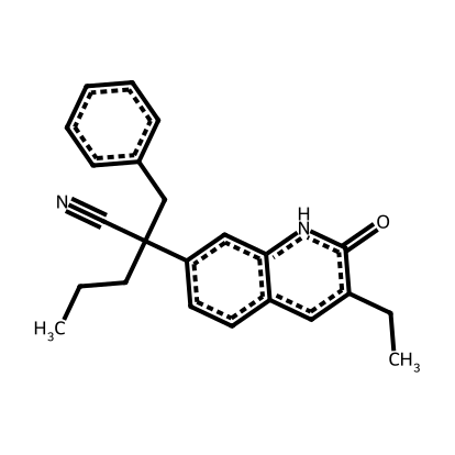 CCCC(C#N)(Cc1ccccc1)c1ccc2cc(CC)c(=O)[nH]c2c1